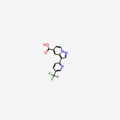 O=C(O)c1ccn2ncc(-c3ccc(C(F)(F)F)cn3)c2c1